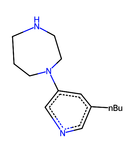 CCCCc1cncc(N2CCCNCC2)c1